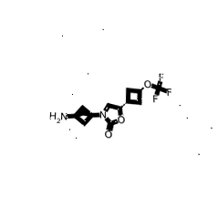 NC12CC(N3CC([C@H]4C[C@@H](OC(F)(F)F)C4)OC3=O)(C1)C2